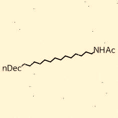 CCCCCCCCCCCCCCCCCCCCCCCCNC(C)=O